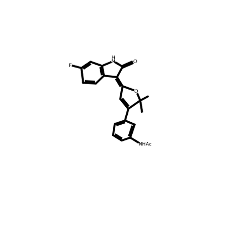 CC(=O)Nc1cccc(C2=CC(=C3C(=O)Nc4cc(F)ccc43)OC2(C)C)c1